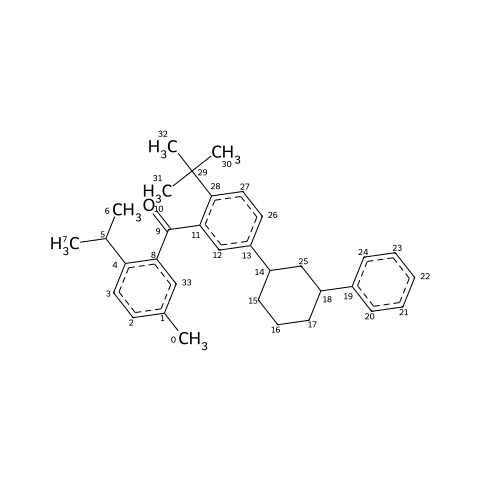 Cc1ccc(C(C)C)c(C(=O)c2cc(C3CCCC(c4ccccc4)C3)ccc2C(C)(C)C)c1